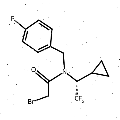 O=C(CBr)N(Cc1ccc(F)cc1)[C@H](C1CC1)C(F)(F)F